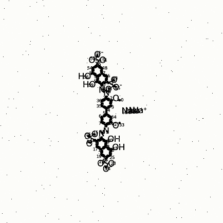 COc1cc(-c2ccc(N=Nc3c(S(=O)(=O)[O-])cc4cc(S(=O)(=O)[O-])cc(O)c4c3O)c(OC)c2)ccc1N=Nc1c(S(=O)(=O)[O-])cc2cc(S(=O)(=O)[O-])cc(O)c2c1O.[Na+].[Na+].[Na+].[Na+]